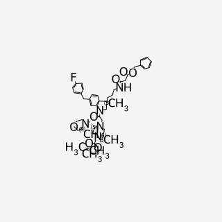 C[C@@H]1COCCN1C[C@H]1CN(C(=O)OC(C)(C)C)[C@@H](C)CN1CC(=O)N1C[C@@](C)(CCCNC(=O)CC(=O)OCc2ccccc2)c2ccc(Cc3ccc(F)cc3)cc21